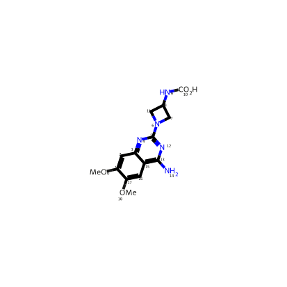 COc1cc2nc(N3CC(NC(=O)O)C3)nc(N)c2cc1OC